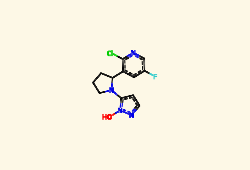 On1nccc1N1CCCC1c1cc(F)cnc1Cl